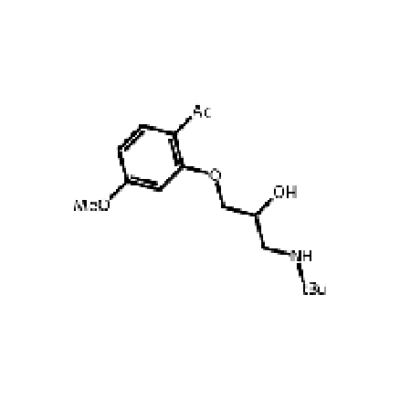 COc1ccc(C(C)=O)c(OCC(O)CNC(C)(C)C)c1